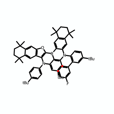 CC(C)(C)c1ccc(N2c3cc(C(C)(C)C)cc4c3B(c3cc5c(cc3N4c3ccc(C(C)(C)C)cc3-c3cccc(F)c3)C(C)(C)CCC5(C)C)c3oc4cc5c(cc4c32)C(C)(C)CCC5(C)C)cc1